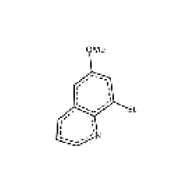 CCc1cc(OC)cc2cccnc12